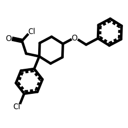 O=C(Cl)CC1(c2ccc(Cl)cc2)CCC(OCc2ccccc2)CC1